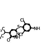 CC(C)c1cc(Sc2c(Cl)cc(N)cc2Cl)n[nH]c1=O